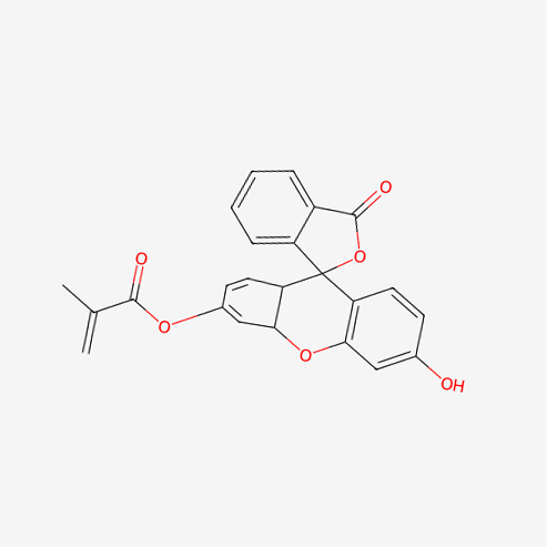 C=C(C)C(=O)OC1=CC2Oc3cc(O)ccc3C3(OC(=O)c4ccccc43)C2C=C1